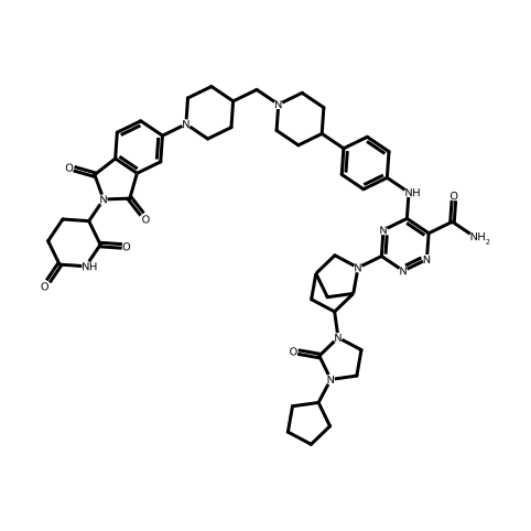 NC(=O)c1nnc(N2CC3CC(N4CCN(C5CCCC5)C4=O)C2C3)nc1Nc1ccc(C2CCN(CC3CCN(c4ccc5c(c4)C(=O)N(C4CCC(=O)NC4=O)C5=O)CC3)CC2)cc1